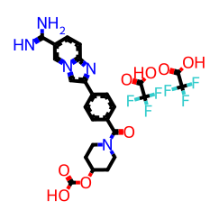 N=C(N)c1ccc2nc(-c3ccc(C(=O)N4CCC(OC(=O)O)CC4)cc3)cn2c1.O=C(O)C(F)(F)F.O=C(O)C(F)(F)F